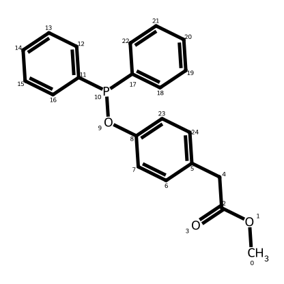 COC(=O)Cc1ccc(OP(c2ccccc2)c2ccccc2)cc1